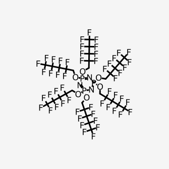 FC(F)(F)C(F)(F)C(F)(F)C(F)(F)COP1(OCC(F)(F)C(F)(F)C(F)(F)C(F)(F)F)=NP(OCC(F)(F)C(F)(F)C(F)(F)C(F)(F)F)(OCC(F)(F)C(F)(F)C(F)(F)C(F)(F)F)=NP(OCC(F)(F)C(F)(F)C(F)(F)C(F)(F)F)(OCC(F)(F)C(F)(F)C(F)(F)C(F)(F)F)=N1